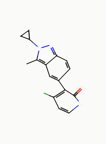 Cc1c2cc(-c3c(Cl)cc[nH]c3=O)ccc2nn1C1CC1